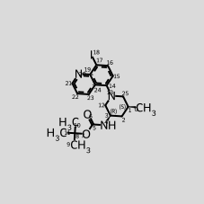 C[C@H]1C[C@@H](NC(=O)OC(C)(C)C)CN(c2ccc(I)c3ncccc23)C1